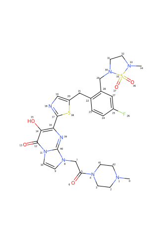 CN1CCN(C(=O)Cn2ccn3c(=O)c(O)c(-c4ncc(Cc5ccc(F)cc5CN5CCN(C)S5(=O)=O)s4)nc23)CC1